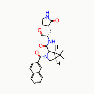 CC1(C)[C@@H]2[C@H](C(=O)N[C@H](C=O)C[C@@H]3CCNC3=O)N(C(=O)c3ccc4ccccc4c3)C[C@@H]21